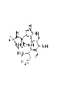 CNC1=C(C(=N)c2cnc3[nH]cc(C(=O)NC4(C#N)CC4)c3n2)C=CC(C)C1C